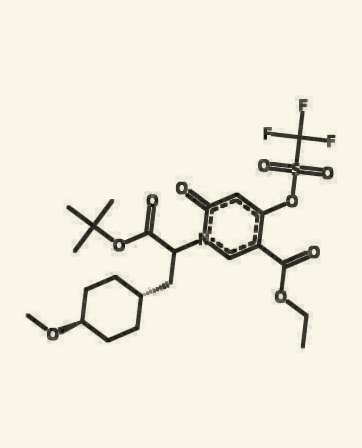 CCOC(=O)c1cn(C(C[C@H]2CC[C@H](OC)CC2)C(=O)OC(C)(C)C)c(=O)cc1OS(=O)(=O)C(F)(F)F